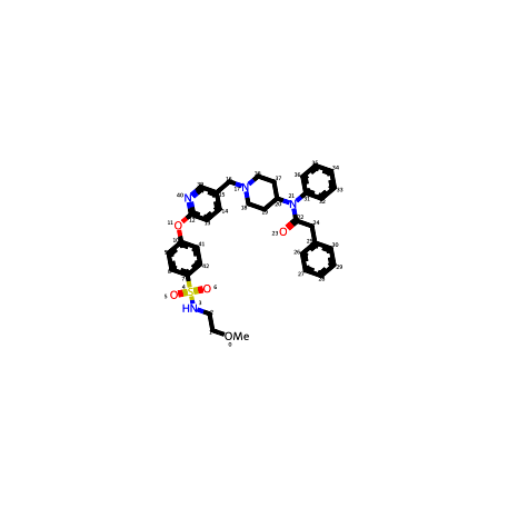 COCCNS(=O)(=O)c1ccc(Oc2ccc(CN3CCC(N(C(=O)Cc4ccccc4)c4ccccc4)CC3)cn2)cc1